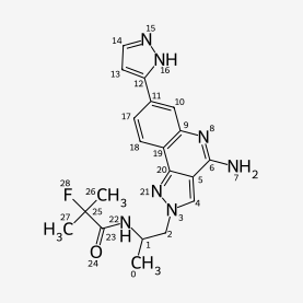 CC(Cn1cc2c(N)nc3cc(-c4ccn[nH]4)ccc3c2n1)NC(=O)C(C)(C)F